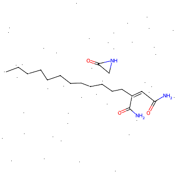 CCCCCCCCCCCCC(=CC(N)=O)C(N)=O.O=C1CN1